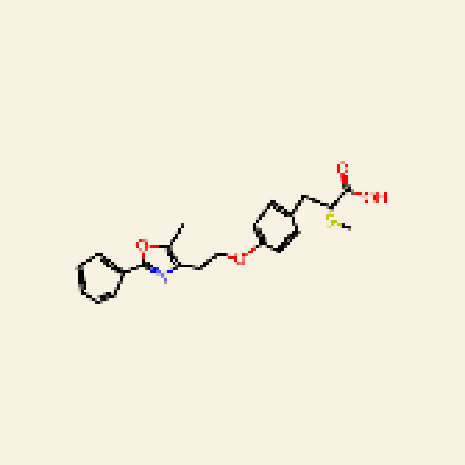 CSC(Cc1ccc(OCCc2nc(-c3ccccc3)oc2C)cc1)C(=O)O